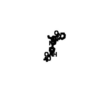 CCc1cc(C(=O)N2CCCCCC2C)nc2cc(-c3ccc(NC(=O)OC(C)(C)C)cc3)nn12